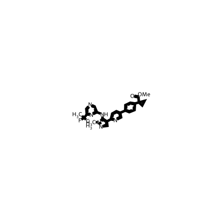 COC(=O)C1(c2ccc(-c3ccc(-c4cnn(C)c4Nc4cncc(C(C)(C)F)n4)nc3)cc2)CC1